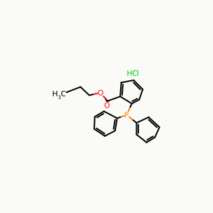 CCCOC(=O)c1ccccc1P(c1ccccc1)c1ccccc1.Cl